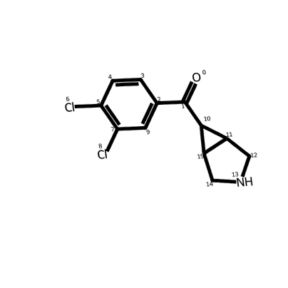 O=C(c1ccc(Cl)c(Cl)c1)C1C2CNCC21